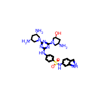 N[C@@H]1C[C@H](N)CN(c2nc(Nc3ccc(S(=O)(=O)Nc4ccc5cn[nH]c5c4)cc3)nc(N3C[C@H](N)C[C@H](O)C3)n2)C1